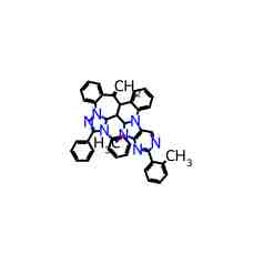 C=C1c2ccccc2N2N=C(c3ccccc3)N(c3ccccc3)C2C2C1c1ccccc1N1c3cnc(-c4ccccc4C)nc3N(C)C21